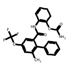 Cc1cc(OC(F)(F)F)cc(C(=O)NC2=C(OC(N)=O)CCC=C2)c1-c1ccccc1